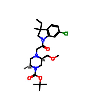 CCC1(C)CN(C(=O)CN2C[C@@H](C)N(C(=O)OC(C)(C)C)C[C@@H]2COC)c2cc(Cl)ccc21